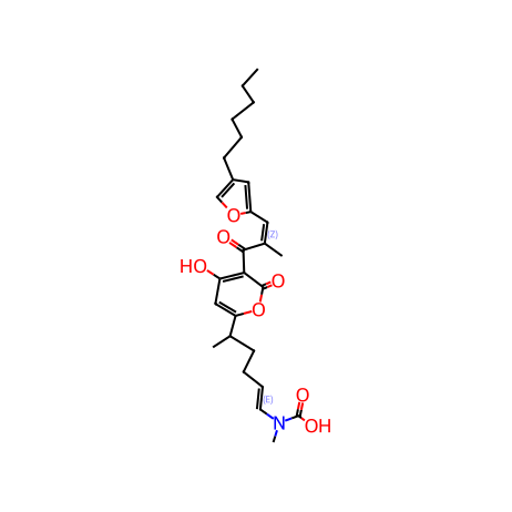 CCCCCCc1coc(/C=C(/C)C(=O)c2c(O)cc(C(C)CC/C=C/N(C)C(=O)O)oc2=O)c1